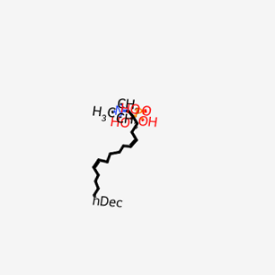 CCCCCCCCCCCCCC/C=C\CCCC/C=C\CCC(O)(C[N+](C)(C)C)P(=O)(O)O